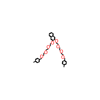 Cc1ccc(COCCOCCOCCOc2cc3ccccc3cc2OCCOCCOCCOCc2ccc(C)cc2)cc1